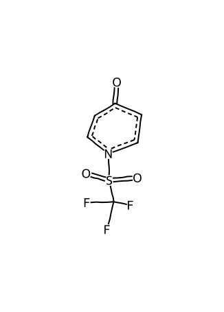 O=c1ccn(S(=O)(=O)C(F)(F)F)cc1